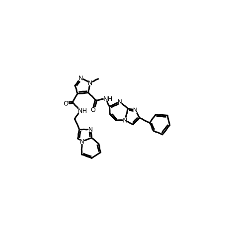 Cn1ncc(C(=O)NCc2cn3ccccc3n2)c1C(=O)Nc1ccn2cc(-c3ccccc3)nc2n1